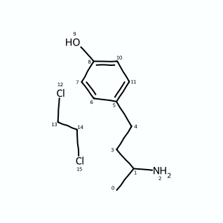 CC(N)CCc1ccc(O)cc1.ClCCCl